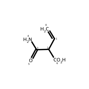 C=CC(C(N)=O)C(=O)O